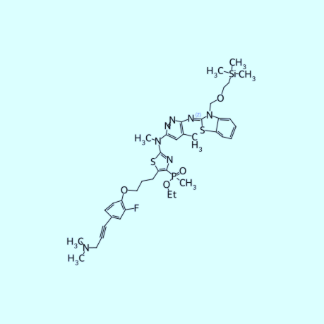 CCOP(C)(=O)c1nc(N(C)c2cc(C)c(/N=c3\sc4ccccc4n3COCC[Si](C)(C)C)nn2)sc1CCCOc1ccc(C#CCN(C)C)cc1F